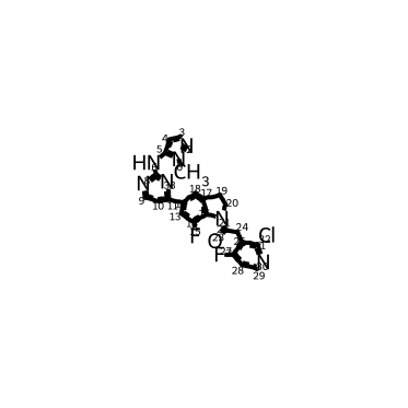 Cn1nccc1Nc1nccc(-c2cc(F)c3c(c2)CCN3C(=O)Cc2c(F)ccnc2Cl)n1